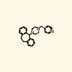 c1ccc2c(c1)CCc1ccccc1C2N1CCN(Cc2ccncc2)CC1